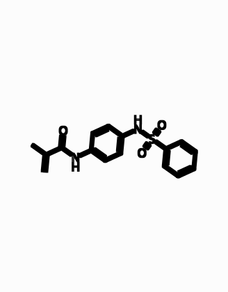 C=C(C)C(=O)Nc1ccc(NS(=O)(=O)c2ccccc2)cc1